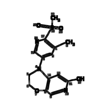 Cc1cc(N2CCOc3cnc(O)cc32)cnc1S(C)(=O)=O